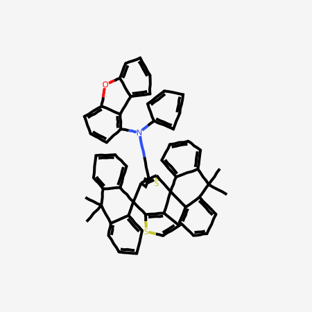 CC1(C)c2ccccc2C2(c3ccccc31)c1cc(N(c3ccccc3)c3cccc4oc5ccccc5c34)sc1C1(c3ccccc3C(C)(C)c3ccccc31)c1ccsc12